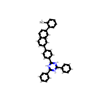 N#Cc1ccccc1-c1ccc2ccc(-c3ccc(-c4nc(-c5ccccc5)nc(-c5ccccc5)n4)cc3)cc2c1